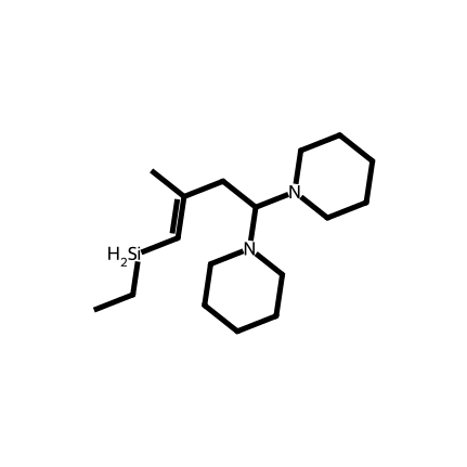 CC[SiH2]C=C(C)CC(N1CCCCC1)N1CCCCC1